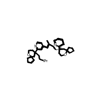 CC(C)CCC1(c2cc(CC(C)CC[C@@]3(c4ccccn4)CCOC4(CCCC4)C3)ccn2)CCOC2(CCCC2)C1